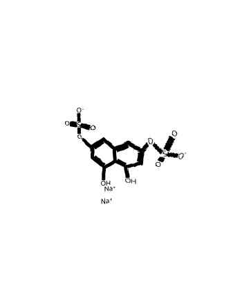 O=S(=O)([O-])Oc1cc(O)c2c(O)cc(OS(=O)(=O)[O-])cc2c1.[Na+].[Na+]